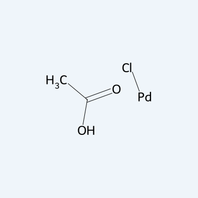 CC(=O)O.[Cl][Pd]